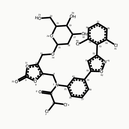 O=C(C(Cl)Cl)N(Cc1oc(=O)oc1COC1CC(O)C(O)C(CO)O1)c1cccc(-c2cc(-c3c(Cl)cccc3Cl)no2)c1